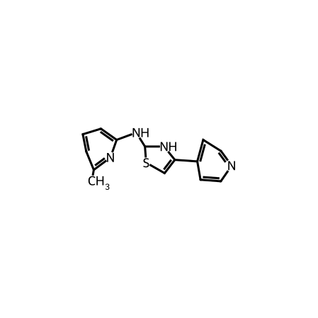 Cc1cccc(NC2NC(c3ccncc3)=CS2)n1